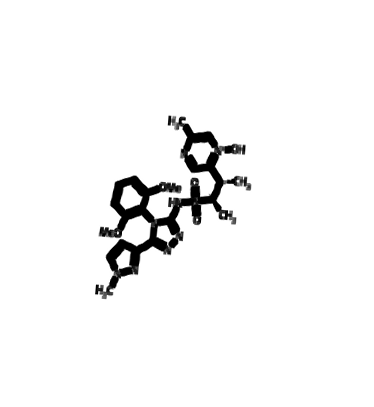 COc1cccc(OC)c1-n1c(NS(=O)(=O)[C@H](C)[C@@H](C)c2cnc(C)c[n+]2O)nnc1-c1ccn(C)n1